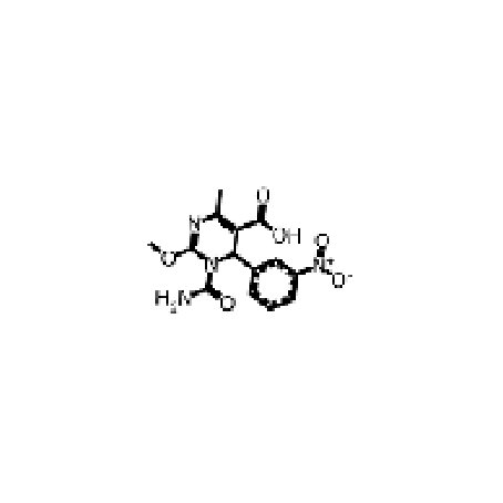 COC1=NC(C)=C(C(=O)O)C(c2cccc([N+](=O)[O-])c2)N1C(N)=O